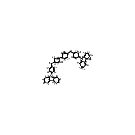 c1ccc2c(c1)c1ncccc1n2-c1ccc(Cc2ccc(-c3ccc(Cc4ccc(-n5c6ccccc6c6ncccc65)cc4)cc3)cc2)cc1